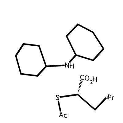 C1CCC(NC2CCCCC2)CC1.CC(=O)S[C@@H](CC(C)C)C(=O)O